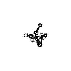 O=C(NN1CCCCC1)c1nn(-c2ccc(Cl)cc2Cl)c(-c2ccc(C#CC3CCCC3)s2)c1CNS(=O)(=O)C1CCCC1